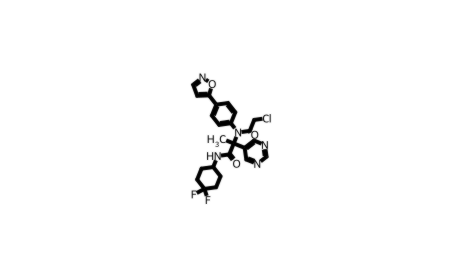 CC(C(=O)NC1CCC(F)(F)CC1)(c1cncnc1)N(C(=O)CCl)c1ccc(-c2ccno2)cc1